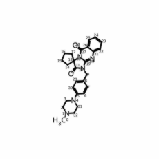 CN1CCN(c2ccc(CN3C(=O)C4(CCCC4)n4c3nc3ccccc3c4=O)cc2)CC1